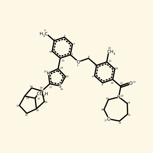 Cc1ccc(OCc2ccc(C(=O)N3CCCOCC3)cc2C)c(-c2csc(N3CC4CCC(C3)C4C(=O)O)n2)c1